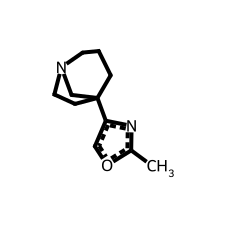 Cc1nc(C23CCCN(CC2)C3)co1